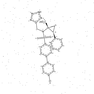 O=C(O)[C@@]1(N(Cc2nn[nH]n2)S(=O)(=O)c2ccc(-c3ccc(Cl)cc3)cc2)C[C@H]1c1ccccc1